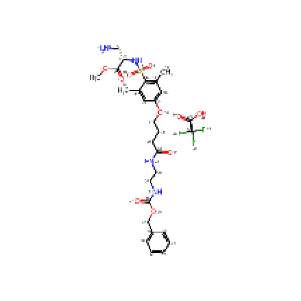 COC(=O)[C@H](CN)NS(=O)(=O)c1c(C)cc(OCCCC(=O)NCCNC(=O)OCc2ccccc2)cc1C.O=C(O)C(F)(F)F